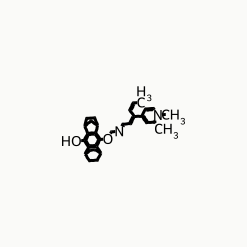 C\C=C/C(=C\C=N\COc1c2c(c(O)c3c1C1CCC3C1)C1CCC2CC1)C1=CC(C)N(C)C=C1